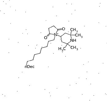 CCCCCCCCCCCCCCCCCC[N+]1(C2CC(C)(C)NC(C)(C)C2)C(=O)CCC1=O